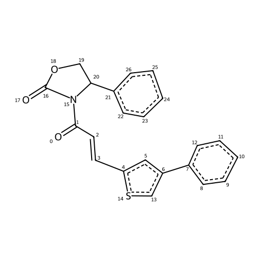 O=C(C=Cc1cc(-c2ccccc2)cs1)N1C(=O)OCC1c1ccccc1